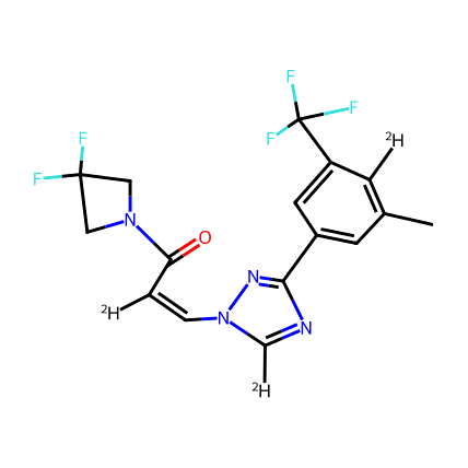 [2H]/C(=C/n1nc(-c2cc(C)c([2H])c(C(F)(F)F)c2)nc1[2H])C(=O)N1CC(F)(F)C1